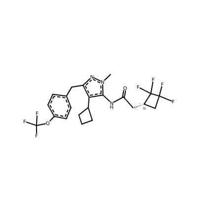 Cn1nc(Cc2ccc(OC(F)(F)F)cc2)c(C2CCC2)c1NC(=O)C[C@H]1CC(F)(F)C1(F)F